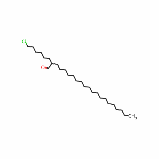 CCCCCCCCCCCCCCCCCCCC(C=O)CCCCCCCl